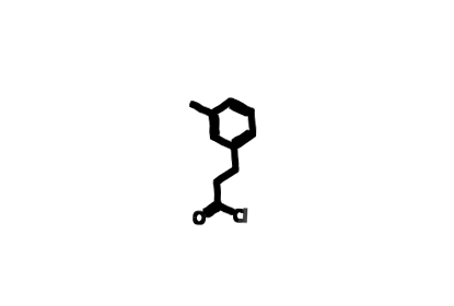 Cc1cccc(CCC(=O)Cl)c1